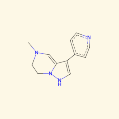 CN1C=C2C(c3ccncc3)=CNN2CC1